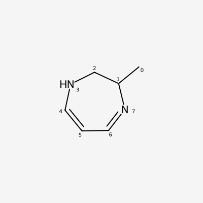 CC1CNC=CC=N1